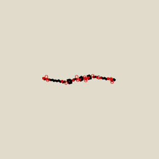 C=CC(=O)OCCCCCCCCCCCOc1ccc(C#CC(=O)Oc2ccc(OC(=O)[C@H]3CC[C@H](OCCCCCCCCCCCOC(=O)C=C)CC3)cc2)cc1